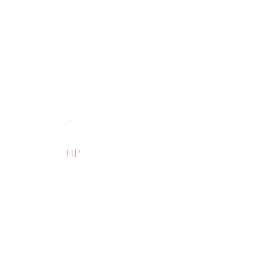 C1=Cc2ccccc2C1.c1ccc(Pc2ccccc2)cc1